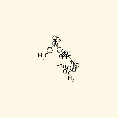 Cc1ccc(-c2cc(C(F)(F)F)nn2-c2ccc(S(=O)(=O)NC(=O)C3CN(n4on4OC(C)OC(=O)C(C)(C)C)C3)cc2)cc1